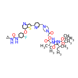 CC(C)C(NC(=O)[C@@H](NC(=O)OC(C)(C)C)C(C)C)C(=O)OCC(=O)N1CCN(Cc2ccc(-c3cc4nccc(Oc5ccc(NC(=O)NC6CC6)cc5F)c4s3)nc2)CC1